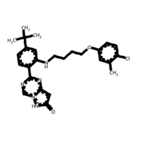 Cc1cc(OCCCCNc2cc(C(C)(C)C)ccc2-c2ncn3[nH]c(=O)cc3n2)ccc1Cl